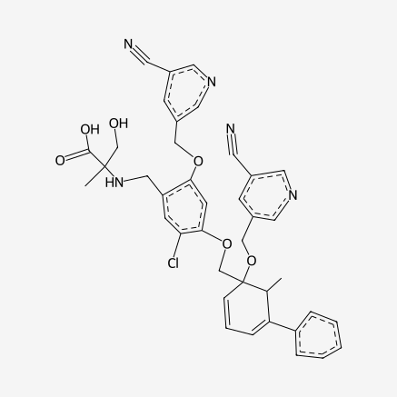 CC1C(c2ccccc2)=CC=CC1(COc1cc(OCc2cncc(C#N)c2)c(CNC(C)(CO)C(=O)O)cc1Cl)OCc1cncc(C#N)c1